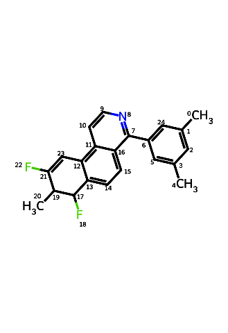 Cc1cc(C)cc(-c2nccc3c4c(ccc23)C(F)C(C)C(F)=C4)c1